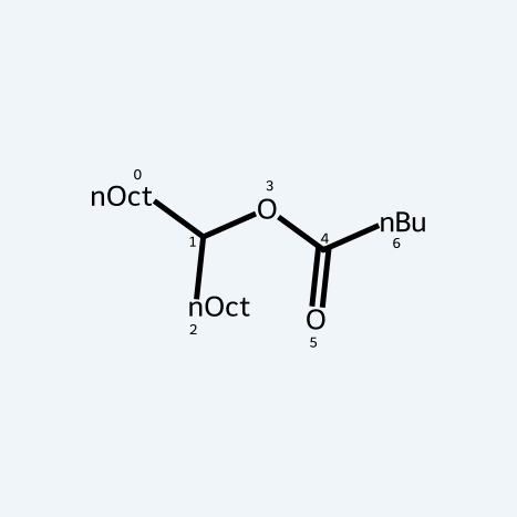 CCCCCCCCC(CCCCCCCC)OC(=O)CCCC